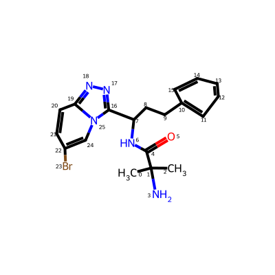 CC(C)(N)C(=O)NC(CCc1ccccc1)c1nnc2ccc(Br)cn12